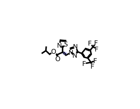 CC(C)COC(=O)/C(=C/n1cnc(-c2cc(C(F)(F)F)cc(C(F)(F)F)c2)n1)c1nccs1